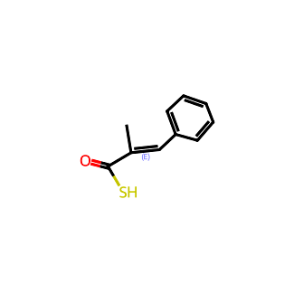 C/C(=C\c1ccccc1)C(=O)S